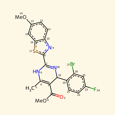 COC(=O)C1=C(C)NC(c2nc3ccc(OC)cc3s2)=NC1c1ccc(F)cc1Br